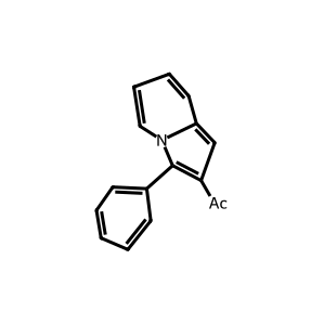 CC(=O)c1cc2ccccn2c1-c1ccccc1